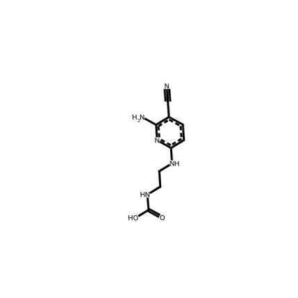 N#Cc1ccc(NCCNC(=O)O)nc1N